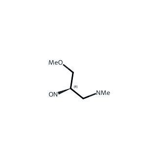 CNC[C@H](COC)N=O